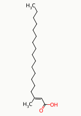 CCCCCCCCCCCCCCCC(C)=CC(=O)O